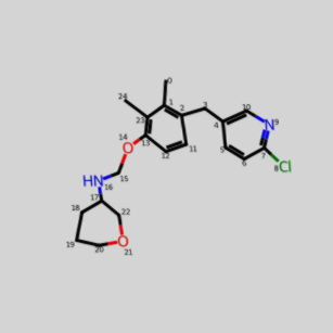 Cc1c(Cc2ccc(Cl)nc2)ccc(OCNC2CCCOC2)c1C